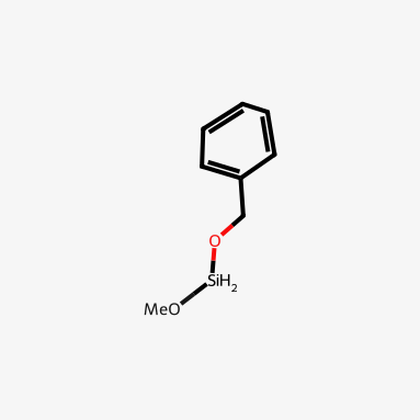 CO[SiH2]OCc1ccccc1